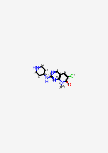 CC(C)n1c(=O)c(Cl)cc2cnc(NC3CCNCC3)nc21